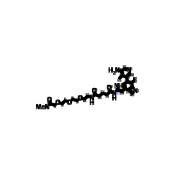 CNC(=O)COCCOCCOCCNC(=O)CCCC(=O)N/C(N)=C/c1cc(-c2cncc(N)c2C)c(F)c2c1C=N2